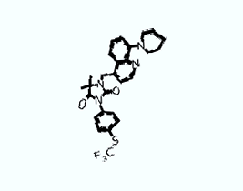 CC1(C)C(=O)N(c2ccc(SC(F)(F)F)cc2)C(=O)N1Cc1ccnc2c(N3CCCCC3)cccc12